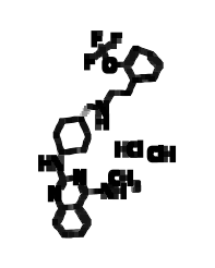 CNc1nc(N[C@H]2CC[C@@H](CNCCc3ccccc3OC(F)(F)F)CC2)nc2ccccc12.Cl.Cl